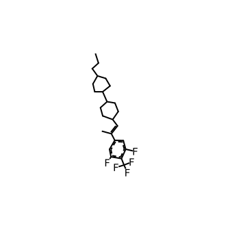 CCCC1CCC(C2CCC(/C=C(\C)c3cc(F)c(C(F)(F)F)c(F)c3)CC2)CC1